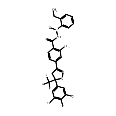 CCc1ccccc1[S+]([O-])NC(=O)c1ccc(C2=NOC(c3cc(Cl)c(F)c(Cl)c3)(C(F)(F)F)C2)cc1C